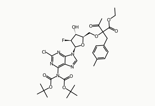 CCOC(=O)C(Cc1ccc(C)cc1)(OC[C@H]1O[C@@H](n2cnc3c(N(C(=O)OC(C)(C)C)C(=O)OC(C)(C)C)nc(Cl)nc32)[C@@H](F)[C@@H]1O)C(C)=O